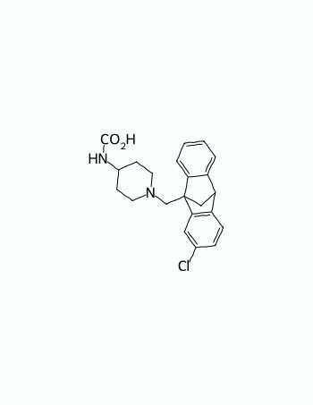 O=C(O)NC1CCN(CC23CC(c4ccccc42)c2ccc(Cl)cc23)CC1